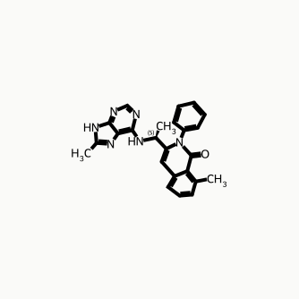 Cc1nc2c(N[C@@H](C)c3cc4cccc(C)c4c(=O)n3-c3ccccc3)ncnc2[nH]1